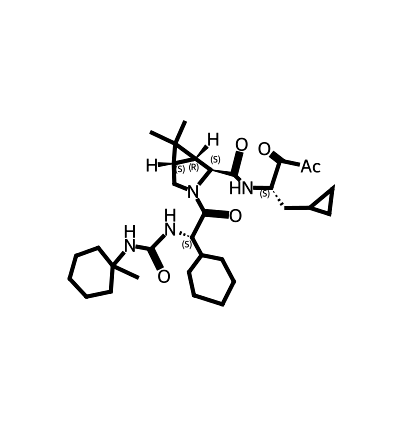 CC(=O)C(=O)[C@H](CC1CC1)NC(=O)[C@@H]1[C@@H]2[C@H](CN1C(=O)[C@@H](NC(=O)NC1(C)CCCCC1)C1CCCCC1)C2(C)C